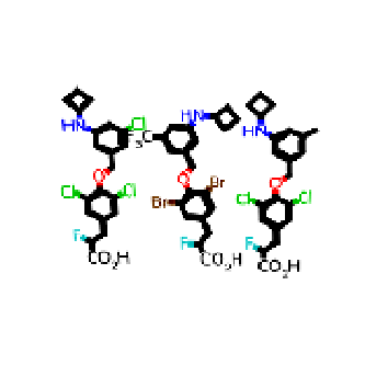 Cc1cc(COc2c(Cl)cc(CC(F)C(=O)O)cc2Cl)cc(NC2CCC2)c1.O=C(O)C(F)Cc1cc(Br)c(OCc2cc(NC3CCC3)cc(C(F)(F)F)c2)c(Br)c1.O=C(O)C(F)Cc1cc(Cl)c(OCc2cc(Cl)cc(NC3CCC3)c2)c(Cl)c1